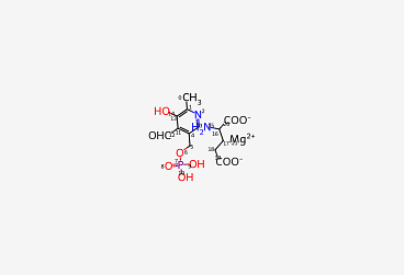 Cc1ncc(COP(=O)(O)O)c(C=O)c1O.NC(CCC(=O)[O-])C(=O)[O-].[Mg+2]